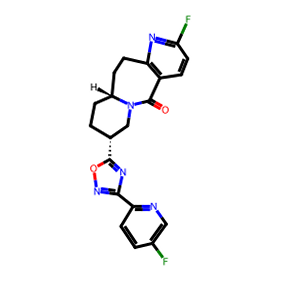 O=C1c2ccc(F)nc2CC[C@H]2CC[C@@H](c3nc(-c4ccc(F)cn4)no3)CN12